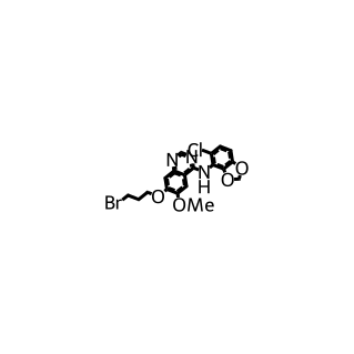 COc1cc2c(Nc3c(Cl)ccc4c3OCO4)ncnc2cc1OCCCBr